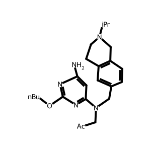 CCCCOc1nc(N)cc(N(CC(C)=O)Cc2ccc3c(c2)CCN(C(C)C)C3)n1